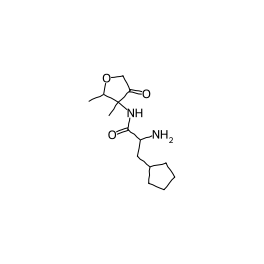 CC1OCC(=O)C1(C)NC(=O)C(N)CC1CCCC1